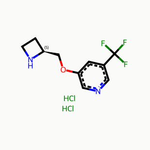 Cl.Cl.FC(F)(F)c1cncc(OC[C@@H]2CCN2)c1